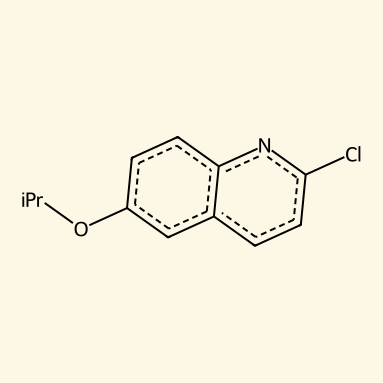 CC(C)Oc1ccc2nc(Cl)ccc2c1